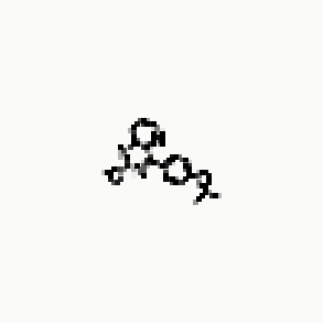 COc1nc(-c2ccc(OC(C)C)cc2)c2ncccc2n1